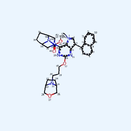 Cn1cc(-c2cccc3ccccc23)c2nc(OCCCN3C4CCC3COC4)nc(N3CC4CCC(C3)N4C(=O)OC(C)(C)C)c21